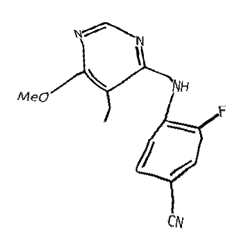 COc1ncnc(Nc2ccc(C#N)cc2F)c1C